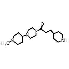 CN1CCC(N2CCN(C(=O)CCC3CCNCC3)CC2)CC1